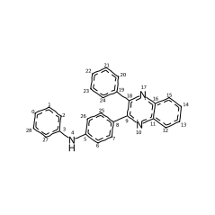 c1ccc(Nc2ccc(-c3nc4ccccc4nc3-c3ccccc3)cc2)cc1